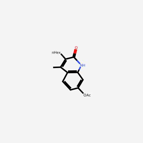 CCCCCCc1c(C)c2ccc(OC(C)=O)cc2[nH]c1=O